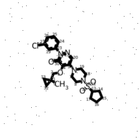 CC1(COc2c(N3CCN(S(=O)(=O)C4CCCC4)CC3)cnn(-c3cccc(Cl)c3)c2=O)CC1